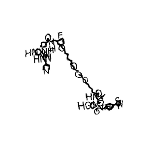 Cc1ncsc1-c1ccc(CNC(=O)[C@@H]2C[C@@H](O)CN2C(=O)C(NC(=O)CCCCCOCCOCCOCCCCCCOc2ccc(F)c(CNC(=O)c3cccc(NC4(c5nnc(-c6ccncc6)[nH]5)CCNCC4)c3)c2)C(C)(C)C)cc1